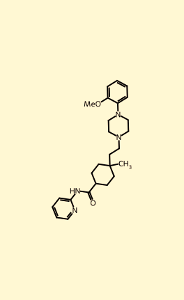 COc1ccccc1N1CCN(CCC2(C)CCC(C(=O)Nc3ccccn3)CC2)CC1